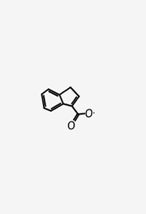 [O]C(=O)C1=CCc2ccccc21